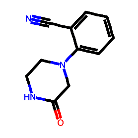 N#Cc1ccccc1N1CCNC(=O)C1